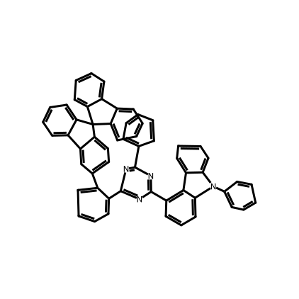 c1ccc(-c2nc(-c3ccccc3-c3ccc4c(c3)-c3ccccc3C43c4ccccc4-c4ccccc43)nc(-c3cccc4c3c3ccccc3n4-c3ccccc3)n2)cc1